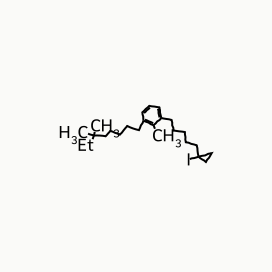 CCC(C)(C)CCCCCc1cccc(CCCCCC2(I)CC2)c1C